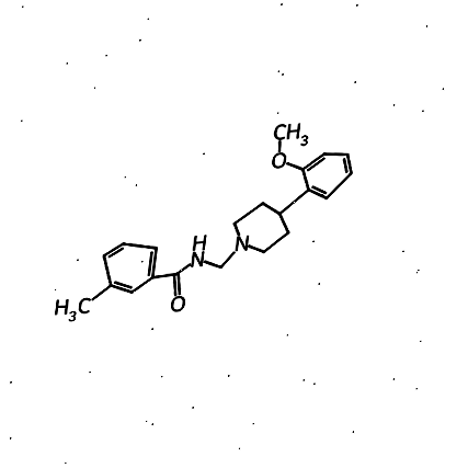 COc1ccccc1C1CCN(CNC(=O)c2cccc(C)c2)CC1